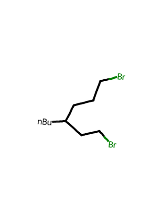 CCCCC(CCBr)CCCBr